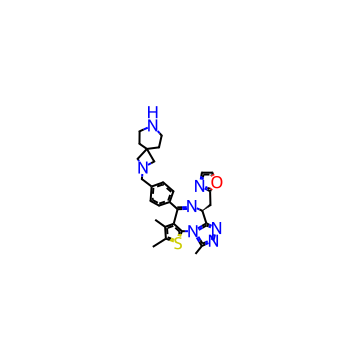 Cc1sc2c(c1C)C(c1ccc(CN3CC4(CCNCC4)C3)cc1)=N[C@@H](Cc1ncco1)c1nnc(C)n1-2